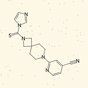 N#Cc1ccnc(N2CCC3(CC2)CN(C(=S)n2ccnc2)C3)c1